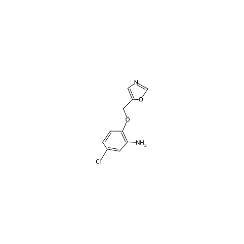 Nc1cc(Cl)ccc1OCc1cnco1